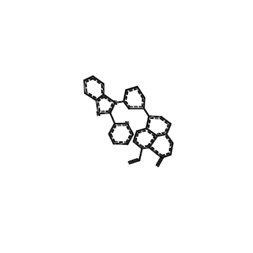 C=Cc1ccc2c(-c3cccc(-n4c(-c5ccccn5)nc5ccccc54)c3)ccc3ccc(=C)c1c32